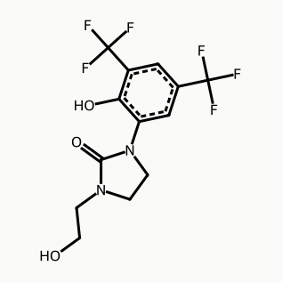 O=C1N(CCO)CCN1c1cc(C(F)(F)F)cc(C(F)(F)F)c1O